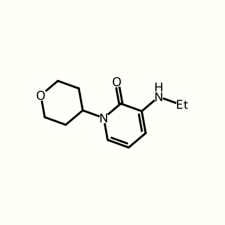 CCNc1cccn(C2CCOCC2)c1=O